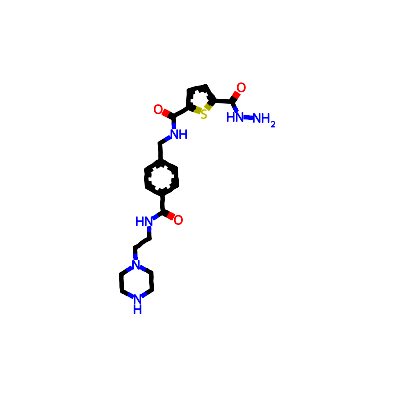 NNC(=O)c1ccc(C(=O)NCc2ccc(C(=O)NCCN3CCNCC3)cc2)s1